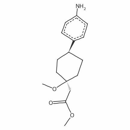 COC(=O)C[C@]1(OC)CC[C@@H](c2ccc(N)cc2)CC1